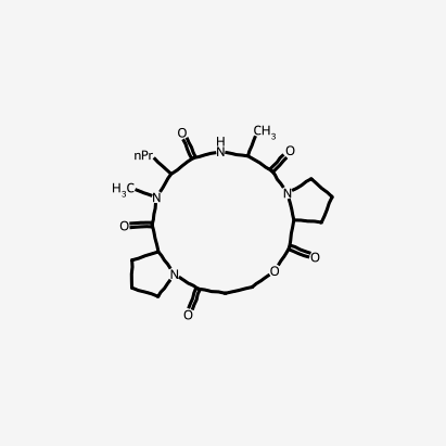 CCCC1C(=O)NC(C)C(=O)N2CCCC2C(=O)OCCC(=O)N2CCCC2C(=O)N1C